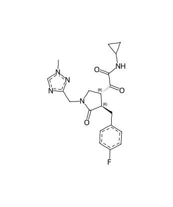 Cn1cnc(CN2C[C@H](C(=O)C(=O)NC3CC3)[C@@H](Cc3ccc(F)cc3)C2=O)n1